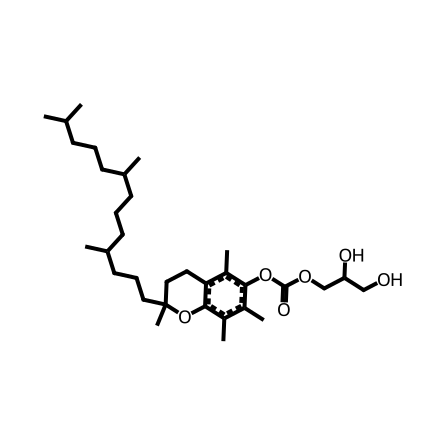 Cc1c(C)c2c(c(C)c1OC(=O)OCC(O)CO)CCC(C)(CCCC(C)CCCC(C)CCCC(C)C)O2